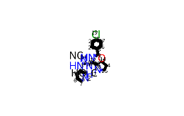 N#C/N=C(\Nc1cccnc1)N[C@H](NC(=O)c1ccc(Cl)cc1)[C@H]1CCCN1C(=O)O